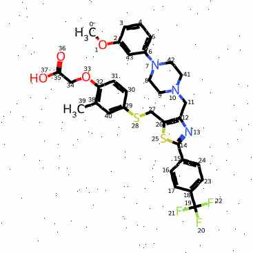 COc1cccc(N2CCN(Cc3nc(-c4ccc(C(F)(F)F)cc4)sc3CSc3ccc(OCC(=O)O)c(C)c3)CC2)c1